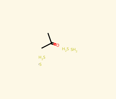 CC(C)=O.S.S.S.[S]